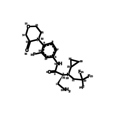 NC[C@H](C(=O)Nc1ccc(N2CCOCC2=O)c(F)c1)N(CC(F)(F)F)C1CC1